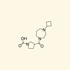 O=C(O)N1CCC(C(=O)N2CCCN(C3CCC3)CC2)C1